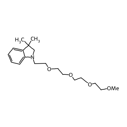 COCCOCCOCCOCCN1CC(C)(C)c2ccccc21